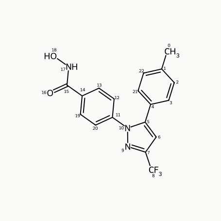 Cc1ccc(-c2cc(C(F)(F)F)nn2-c2ccc(C(=O)NO)cc2)cc1